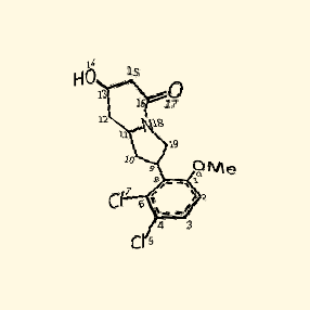 COc1ccc(Cl)c(Cl)c1C1CC2CC(O)CC(=O)N2C1